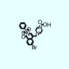 O=C(O)N1CCN(Cc2cn(S(=O)(=O)c3ccccc3)c(=O)c3ccc(Br)cc23)CC1